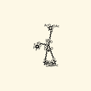 CC(=O)OCC1OC(OCCCCCCNC(=O)CCC(CCC(=O)NCCCCCCOC2OC(COC(C)=O)C(OC(C)=O)C(C)C2C)(CCC(=O)NCCCCCCOC2OC(COC(C)=O)C(OC(C)=O)C(C)C2C)NC(=O)CCCC(=O)Oc2c(F)c(F)c(F)c(F)c2F)C(C)C(C)C1OC(C)=O